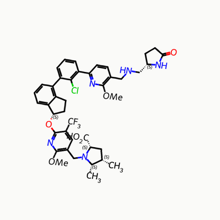 COc1nc(-c2cccc(-c3cccc4c3CC[C@@H]4Oc3nc(OC)c(CN4[C@H](C(=O)O)C[C@H](C)[C@@H]4C)cc3C(F)(F)F)c2Cl)ccc1CNC[C@@H]1CCC(=O)N1